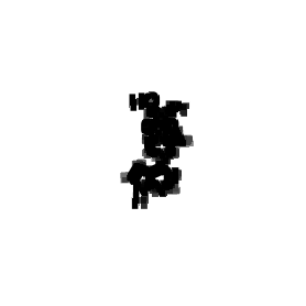 CC(C)N(CO)S(=O)(=O)N1CCN(c2ncnc3[nH]ccc23)CC12CC2